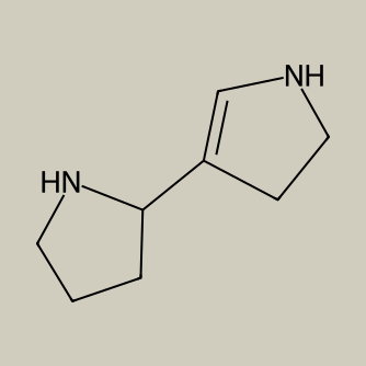 C1=C(C2CCCN2)CCN1